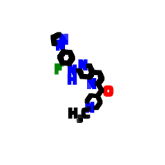 CN1CCC(C(=O)c2ccc3cnc(Nc4ccc(-n5cccn5)cc4F)cc3n2)CC1